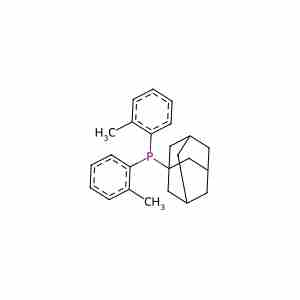 Cc1ccccc1P(c1ccccc1C)C12CC3CC(CC(C3)C1)C2